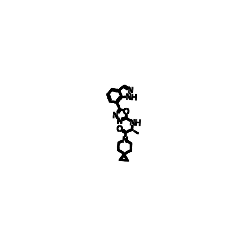 C[C@H](Nc1nnc(-c2cccc3cn[nH]c23)o1)C(=O)N1CCC2(CC1)CC2